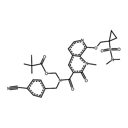 CN(C)S(=O)(=O)C1(COc2nccc3cc(C(=O)N(COC(=O)C(C)(C)C)Cc4ccc(C#N)cc4)c(=O)n(C)c23)CC1